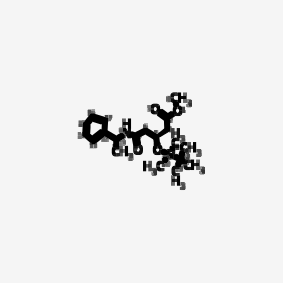 COC(=O)C[C@H](CC(=O)NC(C)c1ccccc1)O[Si](C)(C)C(C)(C)C